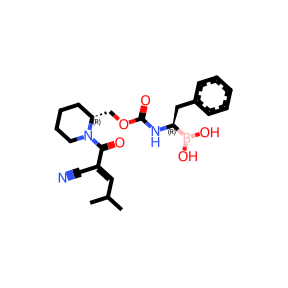 CC(C)C=C(C#N)C(=O)N1CCCC[C@@H]1COC(=O)N[C@@H](Cc1ccccc1)B(O)O